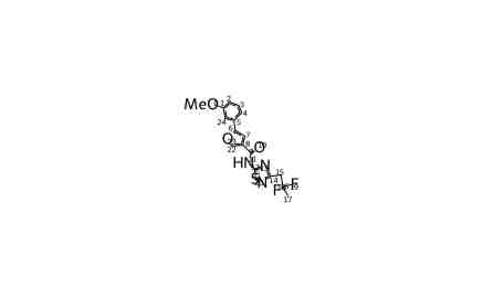 COc1cccc(-c2cc(C(=O)Nc3nc(CC(C)(F)F)ns3)co2)c1